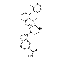 COc1cccc(-c2ccccc2C)c1C(C)C1CC(n2ccc3ccc(C(N)=O)cc32)CCN1